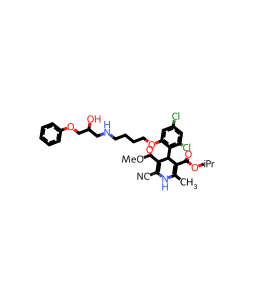 COC(=O)C1=C(C#N)NC(C)=C(C(=O)OC(C)C)C1c1c(Cl)cc(Cl)cc1OCCCCNCC(O)COc1ccccc1